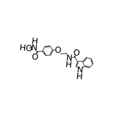 O=C(NO)c1ccc(OCCNC(=O)c2c[nH]c3ccccc23)cc1